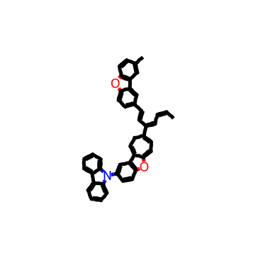 C\C=C/C=C(\C=C\c1ccc2oc3ccc(C)cc3c2c1)C1=CC=c2oc3ccc(-n4c5ccccc5c5ccccc54)cc3c2=CC1